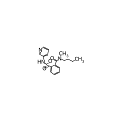 CCCCN(C)C(=O)c1ccccc1S(=O)(=O)Nc1cccnc1